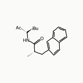 CC[C@H](C)[C@H](NC(=O)[C@@H](C)Cc1ccc2ccccc2c1)C(C)=O